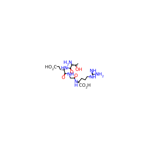 C[C@@H](O)[C@H](N)C(=O)N[C@@H](CCC(=O)O)C(=O)NCC(=O)N[C@@H](CCCNC(=N)N)C(=O)O